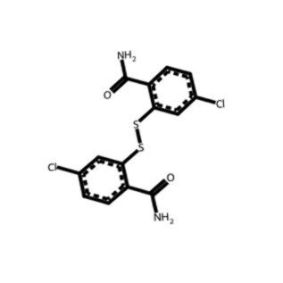 NC(=O)c1ccc(Cl)cc1SSc1cc(Cl)ccc1C(N)=O